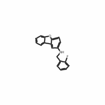 Fc1ccccc1CNc1ccc2oc3ccccc3c2c1